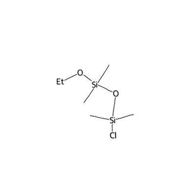 CCO[Si](C)(C)O[Si](C)(C)Cl